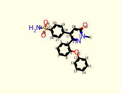 Cn1nc(-c2ccccc2Oc2ccccc2)c(-c2ccc(S(N)(=O)=O)cc2)cc1=O